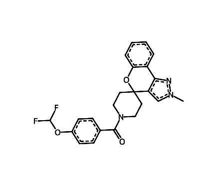 Cn1cc2c(n1)-c1ccccc1OC21CCN(C(=O)c2ccc(OC(F)F)cc2)CC1